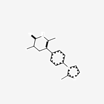 CC1=C(c2ccc(-n3ccnc3C)cc2)CC(C)C(=O)N1